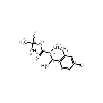 Cc1cc(Cl)ccc1C(C)N(C)C(=O)OC(C)(C)C